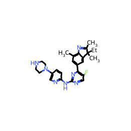 CCC1(C)C(C)=Nc2c(C)cc(-c3nc(Nc4ccc(N5CCNCC5)cn4)ncc3F)cc21